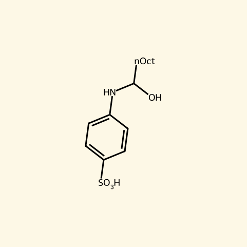 CCCCCCCCC(O)Nc1ccc(S(=O)(=O)O)cc1